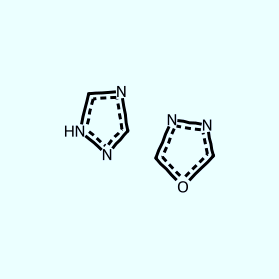 c1nc[nH]n1.c1nnco1